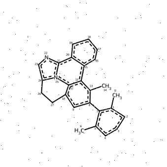 Cc1cccc(C)c1-c1cc2c3c(c1C)c1ccccc1c1ncc(n13)CC2